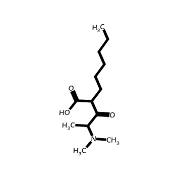 CCCCCCC(C(=O)O)C(=O)C(C)N(C)C